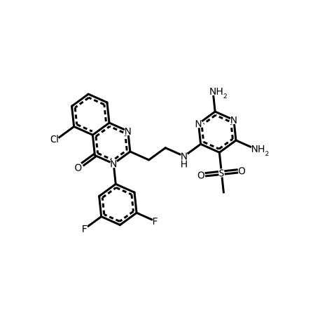 CS(=O)(=O)c1c(N)nc(N)nc1NCCc1nc2cccc(Cl)c2c(=O)n1-c1cc(F)cc(F)c1